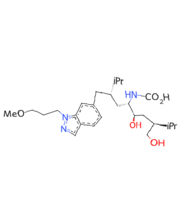 COCCCn1ncc2ccc(C[C@@H](C[C@H](NC(=O)O)[C@H](O)C[C@H](CO)C(C)C)C(C)C)cc21